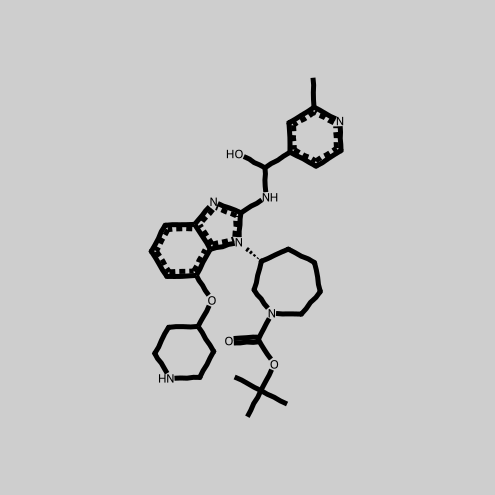 Cc1cc(C(O)Nc2nc3cccc(OC4CCNCC4)c3n2[C@@H]2CCCCN(C(=O)OC(C)(C)C)C2)ccn1